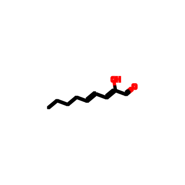 CCCCC=CC=C(O)C=O